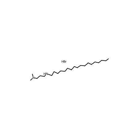 Br.CCCCCCCCCCCCCCCCCCNCCCN(C)C